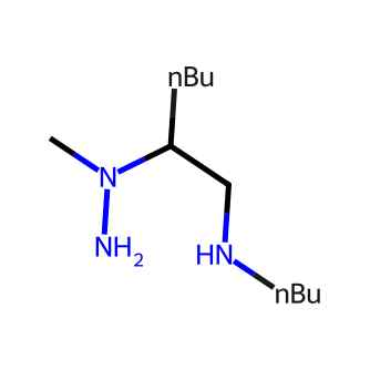 CCCCNCC(CCCC)N(C)N